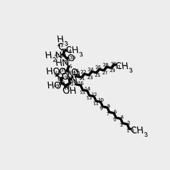 CCCCCCCCCCCCCCCCCCN(C(=O)CCCCCCCCCCC)[C@@]1(NC(=O)CNC(=O)[C@@H](N)C(C)C)C[C@@H](O)[C@H](O)[C@@H](CO)O1